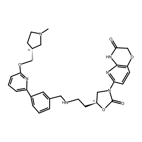 CN1CC[C@@H](COc2cccc(-c3cccc(CNCC[C@H]4CN(c5ccc6c(n5)NC(=O)CO6)C(=O)O4)c3)n2)C1